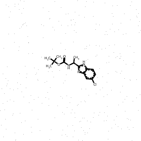 CC(NC(=O)OC(C)(C)C)c1nc2cc(Cl)ccc2[nH]1